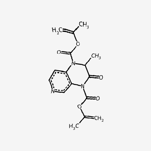 C=C(C)OC(=O)N1C(=O)C(C)N(C(=O)OC(=C)C)c2ccncc21